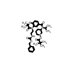 CC(C)N(C(=O)c1ccc2c(c1)N(CCNC(=O)OCc1ccccc1)C(=O)C(C)(C)O2)C1CCCN(OC(=O)C(C)(C)C)C1